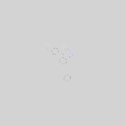 Cc1cc2c(cc1CCc1ccccc1)C(C1CCCCC1)=NN(C)C(=O)N2c1ccc(C=O)cc1